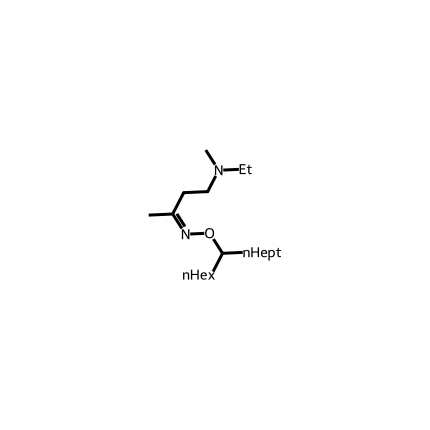 CCCCCCCC(CCCCCC)O/N=C(/C)CCN(C)CC